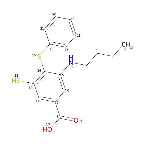 CCCCNc1cc(C(=O)O)cc(S)c1Sc1ccccc1